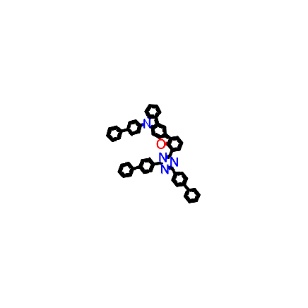 c1ccc(-c2ccc(-c3nc(-c4ccc(-c5ccccc5)cc4)nc(-c4cccc5c4oc4cc6c(cc45)c4ccccc4n6-c4ccc(-c5ccccc5)cc4)n3)cc2)cc1